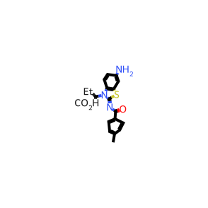 CCC(C(=O)O)n1c(=NC(=O)c2ccc(C)cc2)sc2cc(N)ccc21